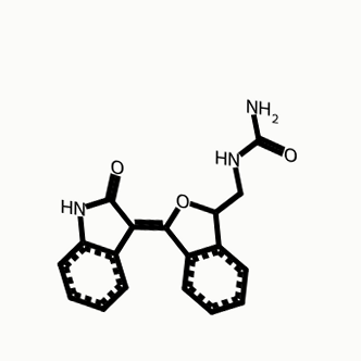 NC(=O)NCC1O/C(=C2\C(=O)Nc3ccccc32)c2ccccc21